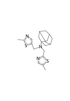 Cc1cnc(CN(Cc2cnc(C)s2)C23CC4CC(CC(C4)C2)C3)s1